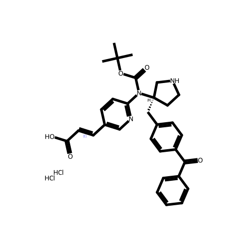 CC(C)(C)OC(=O)N(c1ccc(/C=C/C(=O)O)cn1)[C@]1(Cc2ccc(C(=O)c3ccccc3)cc2)CCNC1.Cl.Cl